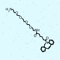 NCCOCCOCCOCCOCCNC(=O)CCCCC(=O)N1Cc2ccccc2/C=C\c2ccccc21